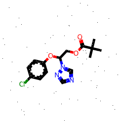 CC(C)(C)C(=O)OCC(Oc1ccc(Cl)cc1)n1cncn1